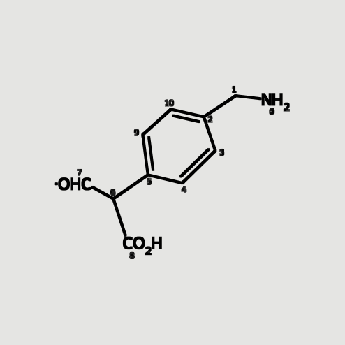 NCc1ccc(C([C]=O)C(=O)O)cc1